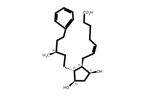 C[C@@H](CCc1ccccc1)CC[C@@H]1[C@@H](C/C=C\CCCC(=O)O)[C@@H](O)C[C@H]1O